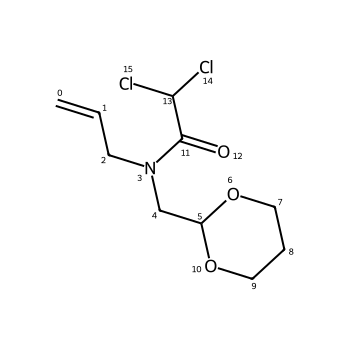 C=CCN(CC1OCCCO1)C(=O)C(Cl)Cl